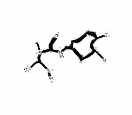 CCSC(N(C)C(=O)Nc1ccc(Cl)c(Cl)c1)C(Cl)(Cl)Cl